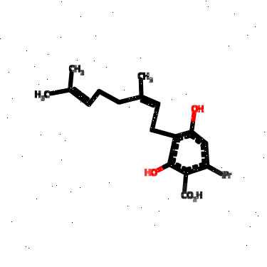 CC(C)=CCCC(C)=CCc1c(O)cc(C(C)C)c(C(=O)O)c1O